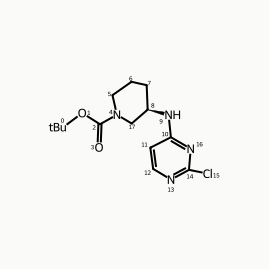 CC(C)(C)OC(=O)N1CCC[C@@H](Nc2ccnc(Cl)n2)C1